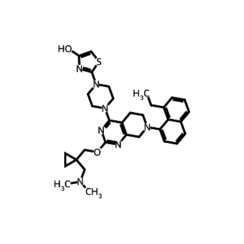 CCc1cccc2cccc(N3CCc4c(nc(OCC5(CN(C)C)CC5)nc4N4CCN(c5nc(O)cs5)CC4)C3)c12